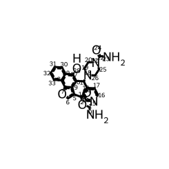 NCOC(=O)c1coc2c1c(C(c1ccncc1)N1CCN(C(N)=O)CC1)c(O)c1ccccc12